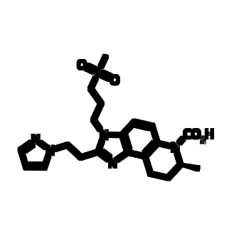 C[C@H]1CCc2c(ccc3c2nc(CCn2cccn2)n3CCCS(C)(=O)=O)N1C(=O)O